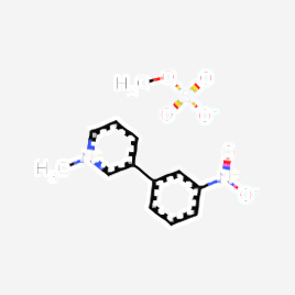 COS(=O)(=O)[O-].C[n+]1cccc(-c2cccc([N+](=O)[O-])c2)c1